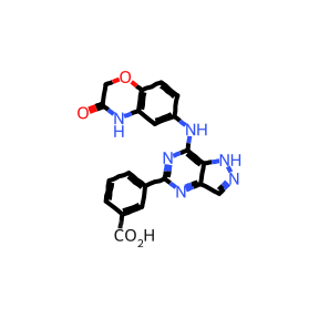 O=C1COc2ccc(Nc3nc(-c4cccc(C(=O)O)c4)nc4cn[nH]c34)cc2N1